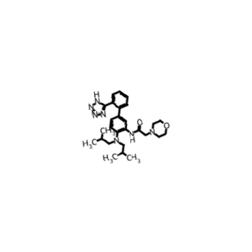 CC(C)CN(CC(C)C)c1ccc(-c2ccccc2-c2nnn[nH]2)cc1NC(=O)CN1CCOCC1